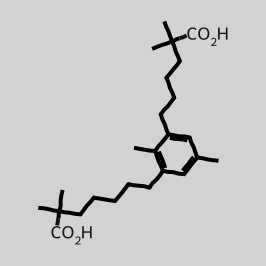 Cc1cc(CCCCCC(C)(C)C(=O)O)c(C)c(CCCCC(C)(C)C(=O)O)c1